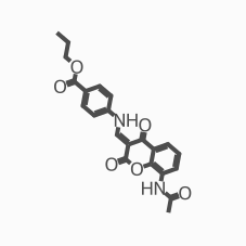 CCCOC(=O)c1ccc(NC=C2C(=O)Oc3c(NC(C)=O)cccc3C2=O)cc1